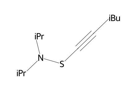 CCC(C)C#CSN(C(C)C)C(C)C